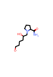 NC(=O)C1CCCN1CC(O)CCCC[O]